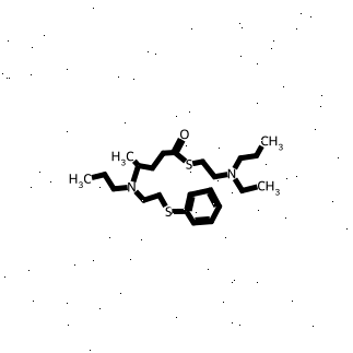 CCCN(CC)CCSC(=O)CCC(C)N(CCC)CCSc1ccccc1